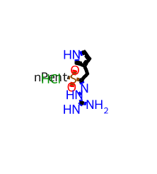 CCCCCS(=O)(=O)C(Cc1cc[nH]c1)=NNC(=N)N.Cl